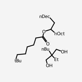 CCCCC(CC)(CO)CO.CCCCCCCCCCCC(CCCCCCCC)OC(=O)CCCCCC(C)(C)C